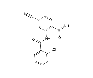 N#Cc1ccc([N+](=N)[O-])c(NC(=O)c2ccccc2Cl)c1